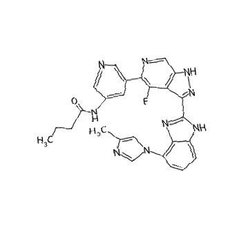 CCCC(=O)Nc1cncc(-c2ncc3[nH]nc(-c4nc5c(-n6cnc(C)c6)cccc5[nH]4)c3c2F)c1